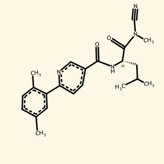 Cc1ccc(C)c(-c2ccc(C(=O)N[C@@H](CC(C)C)C(=O)N(C)C#N)cn2)c1